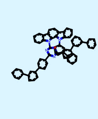 c1ccc(-c2cccc(-c3ccc(-c4nc(-c5cccc(-c6cccc(-c7ccccc7)c6)c5)nc(-n5c6ccccc6c6ccc7c8ccccc8n(-c8cccc(-c9ccccc9)c8)c7c65)n4)cc3)c2)cc1